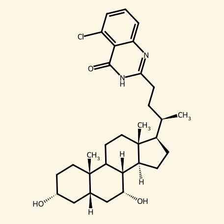 C[C@H](CCc1nc2cccc(Cl)c2c(=O)[nH]1)[C@H]1CC[C@H]2[C@H]3C(CC[C@]12C)[C@@]1(C)CC[C@@H](O)C[C@H]1C[C@H]3O